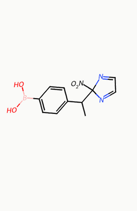 CC(c1ccc(B(O)O)cc1)C1([N+](=O)[O-])N=CC=N1